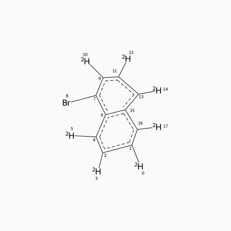 [2H]c1c([2H])c([2H])c2c(Br)c([2H])c([2H])c([2H])c2c1[2H]